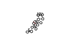 c1ccc([Si](c2ccccc2)(c2cccc(-c3cccc4c3sc3ccccc34)c2)c2cccc([Si](c3ccccc3)(c3ccccc3)c3ccc4c(c3)-c3ccccc3-c3cccnc3-c3ncccc3-4)c2)cc1